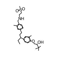 CCC(CCc1ccc(CNCCS(C)(=O)=O)c(C)c1)c1ccc(OCC(O)C(C)(C)C)c(C)c1